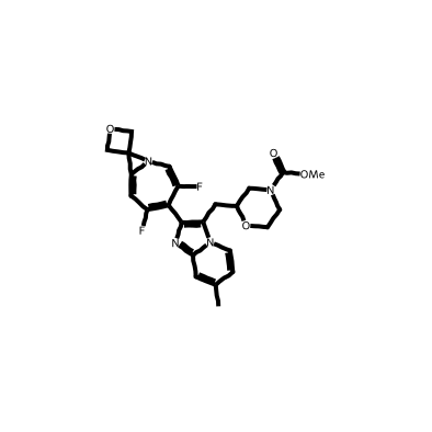 COC(=O)N1CCOC(Cc2c(C3=C(F)C=C4N(C=C3F)C43COC3)nc3cc(C)ccn23)C1